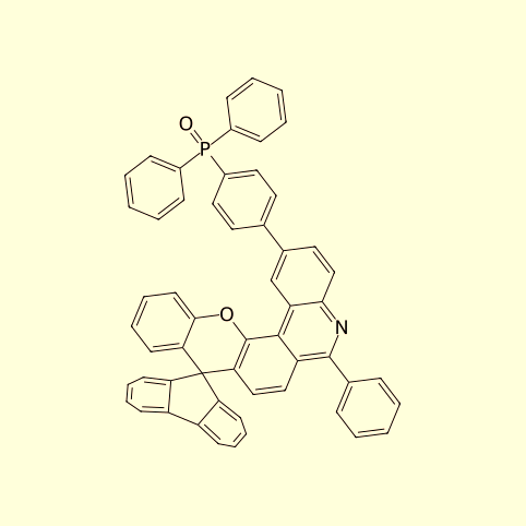 O=P(c1ccccc1)(c1ccccc1)c1ccc(-c2ccc3nc(-c4ccccc4)c4ccc5c(c4c3c2)Oc2ccccc2C52c3ccccc3-c3ccccc32)cc1